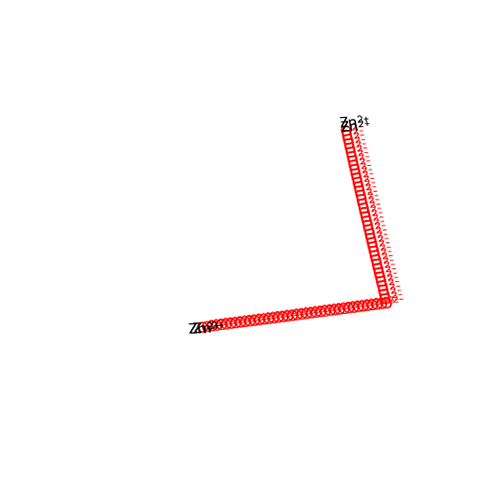 [O-2].[O-2].[O-2].[O-2].[O-2].[O-2].[O-2].[O-2].[O-2].[O-2].[O-2].[O-2].[O-2].[O-2].[O-2].[O-2].[O-2].[O-2].[O-2].[O-2].[O-2].[O-2].[O-2].[O-2].[O-2].[O-2].[O-2].[O-2].[O-2].[O-2].[O-2].[O-2].[O-2].[O-2].[O-2].[O-2].[O-2].[O-2].[O-2].[O-2].[O-2].[O-2].[O-2].[O-2].[O-2].[O-2].[O-2].[O-2].[O-2].[O-2].[O-2].[O-2].[O-2].[O-2].[O-2].[O-2].[O-2].[O-2].[O-2].[O-2].[O-2].[O-2].[O-2].[O-2].[O-2].[O-2].[O-2].[O-2].[O-2].[O-2].[O-2].[O-2].[O-2].[O-2].[O-2].[O-2].[O-2].[O-2].[O-2].[O-2].[Zn+2].[Zn+2].[Zn+2].[Zn+2]